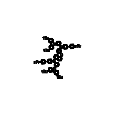 CCCc1ccc(-c2ccc(N(c3cccc(-n4c5ccc(C(C)(C)C)cc5c5cc(C(C)(C)C)ccc54)c3)c3ccc4c(c3)Oc3cccc5c(N(c6ccc(-c7ccc(CCC)cc7)cc6)c6cccc(-n7c8ccc(C(C)(C)C)cc8c8cc(C(C)(C)C)ccc87)c6)ccc-4c35)cc2)cc1